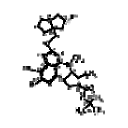 CC1C(N(C)c2nc(OC[C@@]34CCCN3C[C@H](F)C4)nc3c(F)c(Br)ccc23)CCN1C(=O)OC(C)(C)C